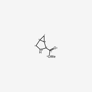 COC(=O)C1NCC2C[C]21